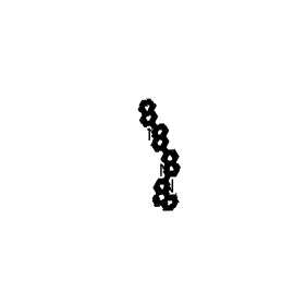 c1ccc2cc(-c3ccc4cc(-c5ccc6ccc(-c7ccc8ccc9ccccc9c8n7)nc6c5)ccc4n3)ccc2c1